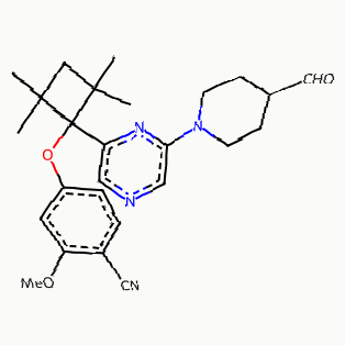 COc1cc(OC2(c3cncc(N4CCC(C=O)CC4)n3)C(C)(C)CC2(C)C)ccc1C#N